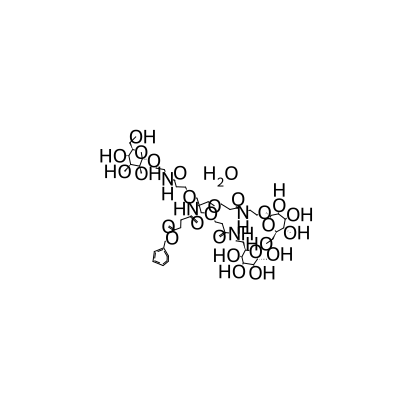 O.O=C(CCOCC(COCCC(=O)NCCO[C@H]1O[C@H](CO)[C@@H](O)[C@H](O)[C@@H]1O)(COCCC(=O)NCC[C@H]1O[C@H](CO)[C@@H](O)[C@H](O)[C@@H]1O)NC(=O)CCC(=O)OCc1ccccc1)NCCO[C@H]1O[C@H](CO)[C@@H](O)[C@H](O)[C@@H]1O